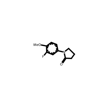 COc1ccc(N2CCCC2=O)cc1F